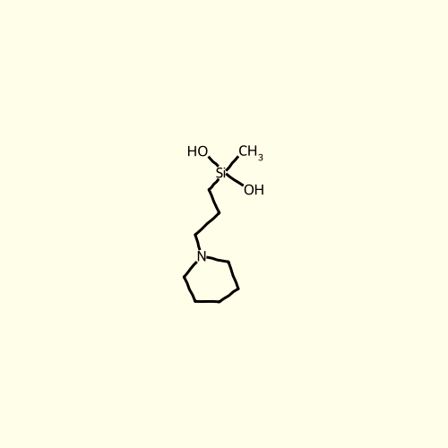 C[Si](O)(O)CCCN1CCCCC1